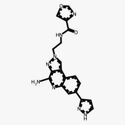 Nc1nc2cc(-c3cc[nH]n3)ccc2c2cn(CCNC(=O)c3cocn3)nc12